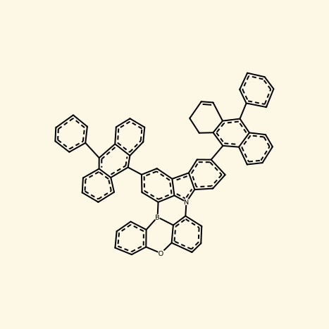 C1=Cc2c(c(-c3ccc4c(c3)c3cc(-c5c6ccccc6c(-c6ccccc6)c6ccccc56)cc5c3n4-c3cccc4c3B5c3ccccc3O4)c3ccccc3c2-c2ccccc2)CC1